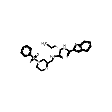 CCC[C@H](NC(=O)c1cc2ccccc2s1)C(=O)NCC1CN(S(=O)(=O)c2ccccc2)CCO1